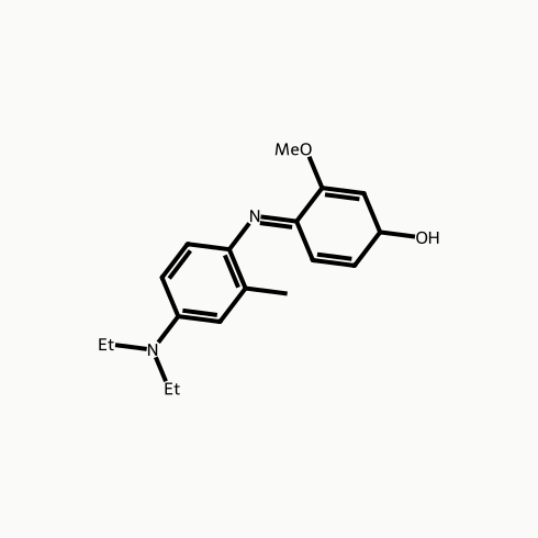 CCN(CC)c1ccc(N=C2C=CC(O)C=C2OC)c(C)c1